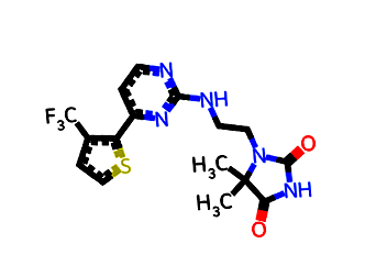 CC1(C)C(=O)NC(=O)N1CCNc1nccc(-c2sccc2C(F)(F)F)n1